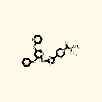 CN(C)C(=O)N1CCC(c2nsc(Nc3ncc(Sc4ccccn4)cc3Oc3ccccc3)n2)CC1